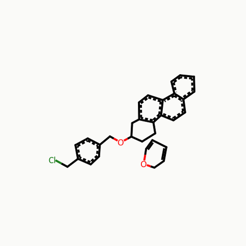 C1=CCOC=C1.ClCc1ccc(COC2CCc3c(ccc4c3ccc3ccccc34)C2)cc1